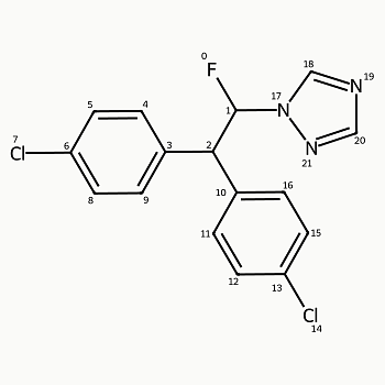 FC(C(c1ccc(Cl)cc1)c1ccc(Cl)cc1)n1cncn1